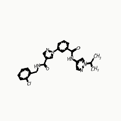 CC(C)n1cc(NC(=O)c2cccc(-n3cc(C(=O)NCc4ccccc4Cl)cn3)c2)cn1